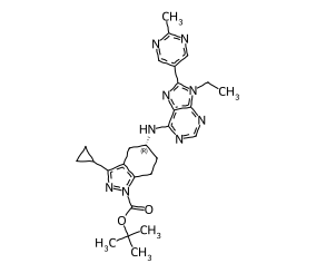 CCn1c(-c2cnc(C)nc2)nc2c(N[C@@H]3CCc4c(c(C5CC5)nn4C(=O)OC(C)(C)C)C3)ncnc21